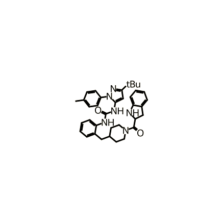 Cc1ccc(-n2nc(C(C)(C)C)cc2NC(=O)Nc2ccccc2CC2CCN(C(=O)C3Cc4ccccc4N3)CC2)cc1